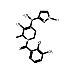 CC1C(N)=C(N(N)c2ccn(C(C)C)n2)CCN1C(=O)c1cccc(C(F)(F)F)c1Cl